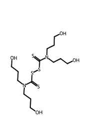 OCCCN(CCCO)C(=S)SSC(=S)N(CCCO)CCCO